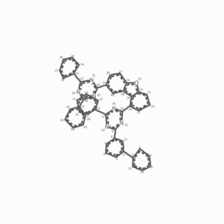 c1ccc(-c2cccc(-c3nc(-c4ccccc4)nc(-c4cccc5oc6ccc(-c7nc(-c8ccccc8)nc(-c8ccccc8)n7)cc6c45)n3)c2)cc1